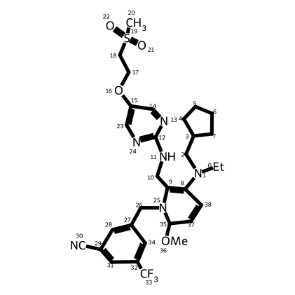 CCN(CC1CCCC1)C1=C(CNc2ncc(OCCS(C)(=O)=O)cn2)N(Cc2cc(C#N)cc(C(F)(F)F)c2)C(OC)C=C1